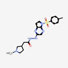 Cc1ccc(S(=O)(=O)n2ccc3nc(NNC(=O)CC4CCN(C(=O)O)C4)cnc32)cc1